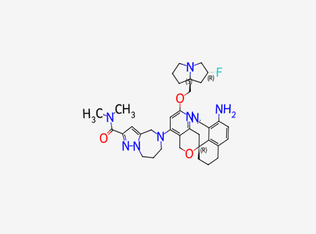 CN(C)C(=O)c1cc2n(n1)CCCN(c1cc(OC[C@@]34CCCN3C[C@H](F)C4)nc3c1CO[C@]1(CCCc4ccc(N)c(C#N)c41)C3)C2